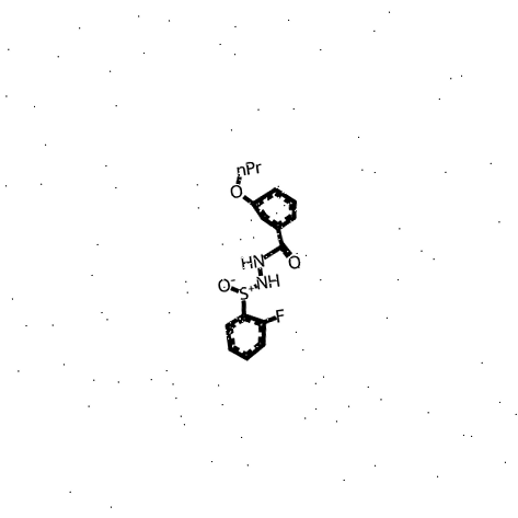 CCCOc1cccc(C(=O)NN[S+]([O-])c2ccccc2F)c1